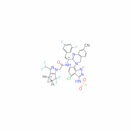 Cn1nc(NS(C)(=O)=O)c2c(Cl)ccc(N3Cc4ccc(C#N)cc4N=C3[C@H](Cc3cc(F)cc(F)c3)NC(=O)Cn3nc(C(F)F)c4c3C(F)(F)[C@@H]3C[C@H]43)c21